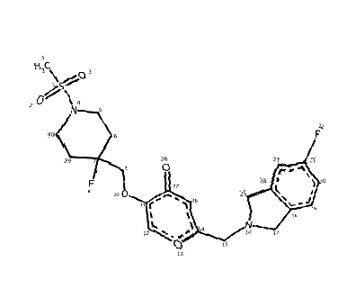 CS(=O)(=O)N1CCC(F)(COc2coc(CN3Cc4ccc(F)cc4C3)cc2=O)CC1